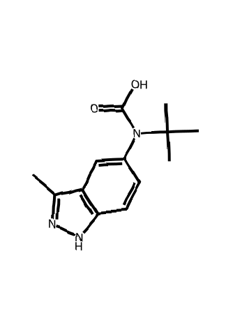 Cc1n[nH]c2ccc(N(C(=O)O)C(C)(C)C)cc12